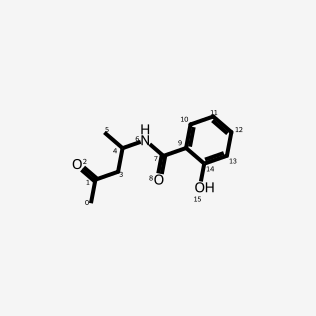 CC(=O)CC(C)NC(=O)c1ccccc1O